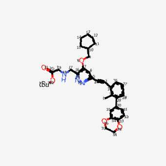 Cc1c(C#Cc2cc(OCC3CCCCC3)c(CNCC(=O)OC(C)(C)C)nn2)cccc1-c1ccc2c(c1)OCCO2